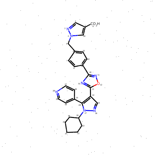 O=C(O)c1cnn(Cc2ccc(-c3noc(-c4cnn(C5CCCCC5)c4-c4ccncc4)n3)cc2)c1